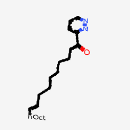 CCCCCCCC/C=C/CCCCCCCC(=O)c1cccnn1